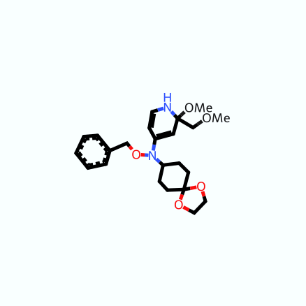 COCC1(OC)C=C(N(OCc2ccccc2)C2CCC3(CC2)OCCO3)C=CN1